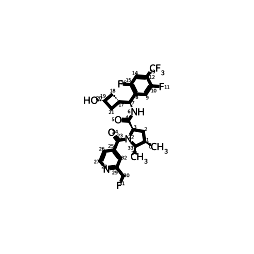 C[C@@H]1C[C@H](C(=O)N[C@@H](c2cc(F)c(C(F)(F)F)cc2F)[C@H]2C[C@@H](O)C2)N(C(=O)c2ccnc(CF)c2)[C@@H]1C